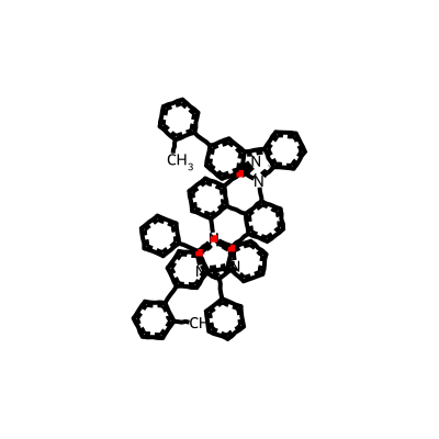 Cc1ccccc1-c1ccc2c(c1)c1ccccc1n2-c1cccc(C#N)c1-c1c(-c2nc(-c3ccccc3)nc(-c3ccccc3)n2)cccc1-n1c2ccccc2c2cc(-c3ccccc3C)ccc21